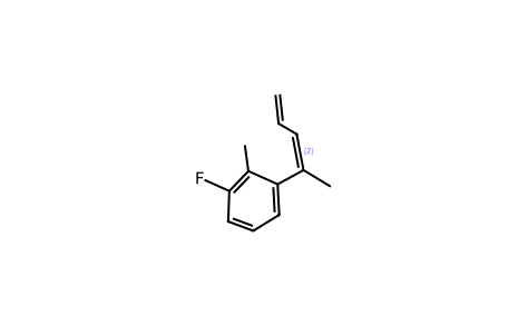 C=C/C=C(/C)c1cccc(F)c1C